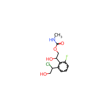 CNC(=O)OCC(O)c1c(F)cccc1C(Cl)CO